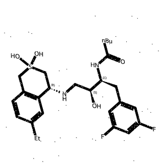 CCCCC(=O)N[C@@H](Cc1cc(F)cc(F)c1)[C@@H](O)CN[C@H]1CS(O)(O)Cc2ccc(CC)cc21